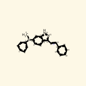 CN(c1ccccc1)c1ccc2c(/C=C/c3ccccc3)n[nH]c2c1